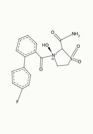 NC(=O)C1[N@@+](O)(C(=O)c2ccccc2-c2ccc(F)cc2)CCS1(=O)=O